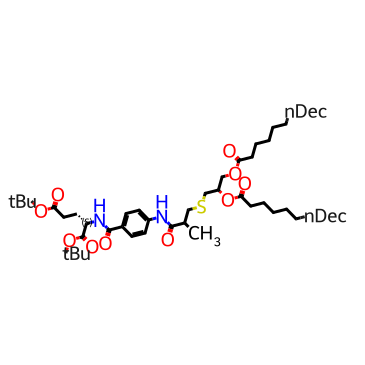 CCCCCCCCCCCCCCCC(=O)OCC(CSCC(C)C(=O)Nc1ccc(C(=O)N[C@@H](CCC(=O)OC(C)(C)C)C(=O)OC(C)(C)C)cc1)OC(=O)CCCCCCCCCCCCCCC